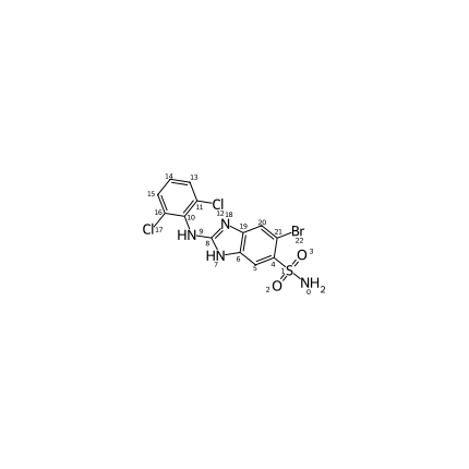 NS(=O)(=O)c1cc2[nH]c(Nc3c(Cl)cccc3Cl)nc2cc1Br